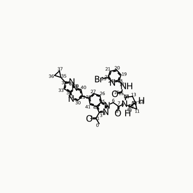 CC(=O)c1nn(CC(=O)N2[C@@H]3C[C@@H]3C[C@H]2C(=O)Nc2cccc(Br)n2)c2ccc(-c3cnc4cc(C5CC5)nn4c3)cc12